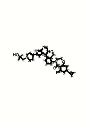 CC(C)(O)CN1CC=C(c2cc3c(-c4cccc(N5CCOc6cc(C7CC7)cc(F)c6C5=O)c4CO)ccnc3[nH]2)CC1